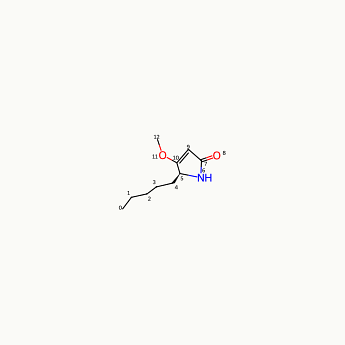 CCCCC[C@@H]1NC(=O)C=C1OC